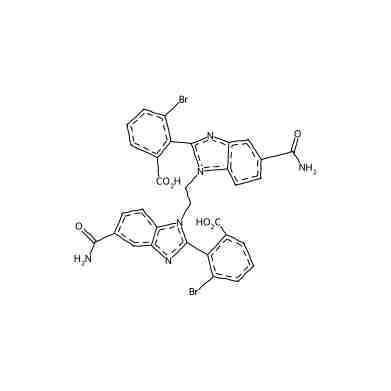 NC(=O)c1ccc2c(c1)nc(-c1c(Br)cccc1C(=O)O)n2CCn1c(-c2c(Br)cccc2C(=O)O)nc2cc(C(N)=O)ccc21